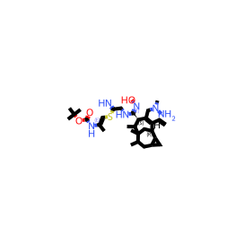 C=CC1=C(CN(C)N)[C@@H](/C(=N/O)NCC(=N)S/C=C(\C)NC(=O)OC(C)(C)C)C(C)C2(C)C[C@@H]1C1CC1CC2C